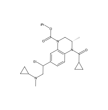 CCC(CN(C)C1CC1)c1ccc2c(c1)N(C(=O)OC(C)C)C[C@H](C)N2C(=O)C1CC1